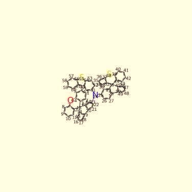 c1ccc2c(c1)Oc1ccccc1C21c2ccccc2-c2ccc(N(c3ccc4c(c3)C3(c5ccccc5Sc5ccccc53)c3ccccc3-4)c3ccc4sc5ccccc5c4c3)cc21